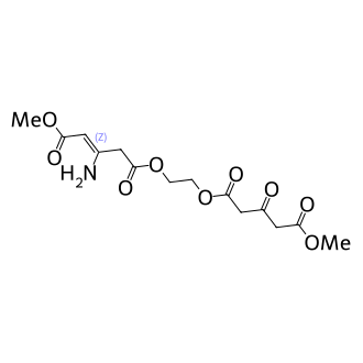 COC(=O)/C=C(\N)CC(=O)OCCOC(=O)CC(=O)CC(=O)OC